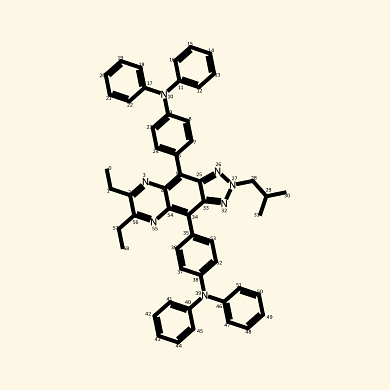 CCc1nc2c(-c3ccc(N(c4ccccc4)c4ccccc4)cc3)c3nn(CC(C)C)nc3c(-c3ccc(N(c4ccccc4)c4ccccc4)cc3)c2nc1CC